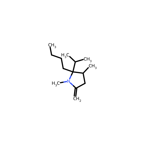 C=C1CC(C)C(CCCC)(C(C)C)N1C